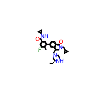 CC[C@H]1CN(Cc2cn(CC3CC3)c(=O)c3ccc(-c4cc(C(=O)NC5CC5)cc(F)c4C)cc23)CCN1